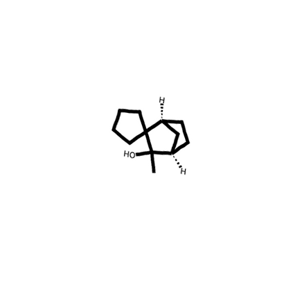 CC1(O)[C@@H]2CC[C@@H](C2)C12CCCC2